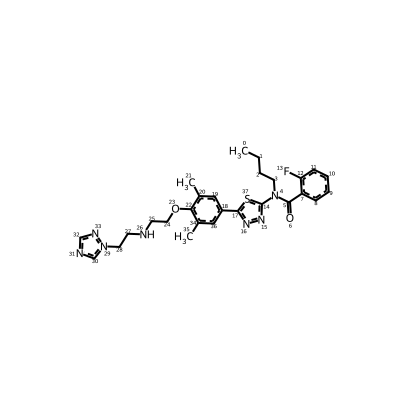 CCCCN(C(=O)c1ccccc1F)c1nnc(-c2cc(C)c(OCCNCCn3cncn3)c(C)c2)s1